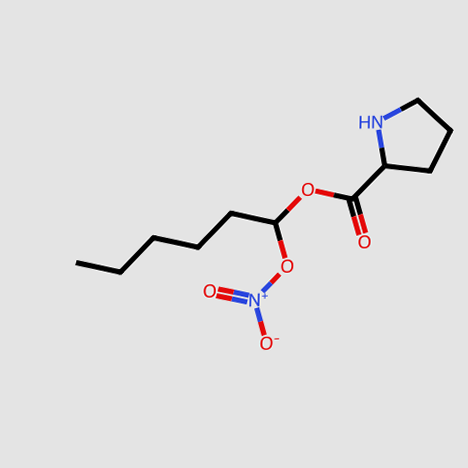 CCCCCC(OC(=O)C1CCCN1)O[N+](=O)[O-]